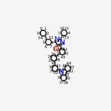 c1ccc(-c2cccc(-c3nc(-c4ccccc4)nc4c3oc3c(-c5cccc(-c6cccc(-n7c8ccccc8c8ccccc87)c6)c5)cccc34)c2)cc1